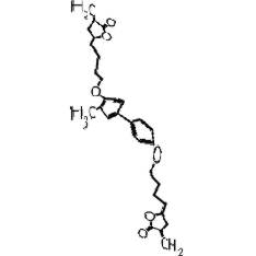 C=C1CC(CCCCOc2ccc(-c3ccc(OCCCCC4CC(=C)C(=O)O4)c(C)c3)cc2)OC1=O